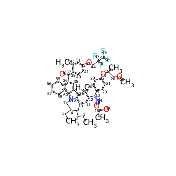 CCCCC(CC)Cn1c2ccc(/C(=N\OC(C)=O)c3ccc(OC(C)COC)cc3C)cc2c2cc(C(=O)c3ccc(OCC(F)(F)C(F)F)cc3C)c3ccccc3c21